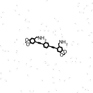 NCc1cc2c(cc1C#Cc1ccc(C#Cc3cc4c(cc3CN)OCO4)cc1)OCO2